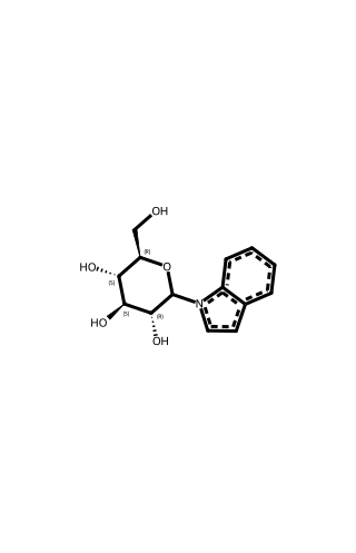 OC[C@H]1OC(n2ccc3ccccc32)[C@H](O)[C@@H](O)[C@@H]1O